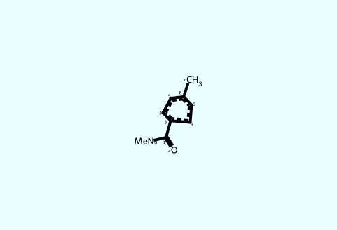 CNC(=O)c1ccc(C)cc1